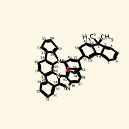 CC1(C)c2ccccc2-c2cc(-c3ccnc(-n4c5ccccc5c5ccc6c7ccccc7c7nc8ccccc8n7c6c54)c3)ccc21